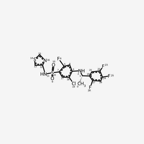 C[C@H](Nc1cc(F)c(S(=O)(=O)Nc2cscn2)cc1Cl)c1cc(F)c(F)cc1F